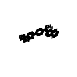 CC(c1ccc2nccnc2c1)N1CCN(c2ccc(C3(O)COC3)cn2)CC1